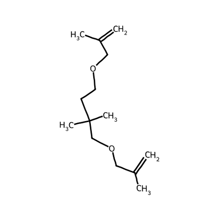 C=C(C)COCCC(C)(C)COCC(=C)C